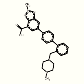 CN1CCN(Cc2ccccc2-c2ccc(-c3cc(C(=O)O)c4nn(C)nc4c3)cc2)CC1